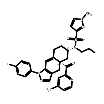 Cn1ccc(S(=O)(=O)N(CCF)[C@H]2CCC3=Cc4c(cnn4-c4ccc(F)cc4)C[C@]3(C(=O)c3cc(C(F)(F)F)ccn3)C2)n1